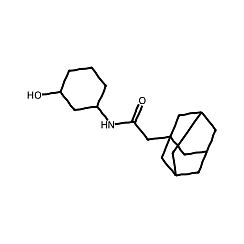 O=C(CC12CC3CC(CC(C3)C1)C2)NC1CCCC(O)C1